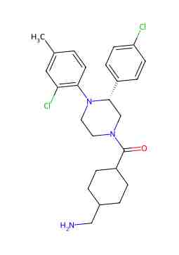 Cc1ccc(N2CCN(C(=O)C3CCC(CN)CC3)C[C@H]2c2ccc(Cl)cc2)c(Cl)c1